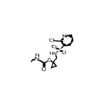 CNC(=O)OC1(CNS(=O)(=O)c2cccnc2Cl)CC1